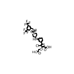 O=C(O)COc1c(C(=O)O)sc(-c2cccc(NC3CCN(S(=O)(=O)Cc4cc(C(F)(F)F)cc(C(F)(F)F)c4)CC3)c2)c1Cl